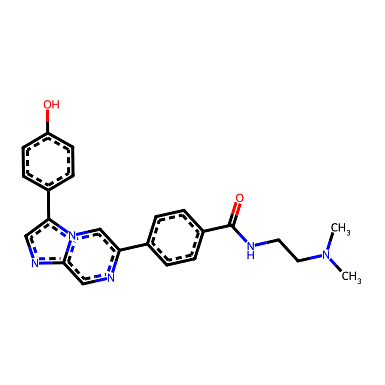 CN(C)CCNC(=O)c1ccc(-c2cn3c(-c4ccc(O)cc4)cnc3cn2)cc1